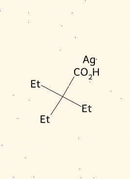 CCC(CC)(CC)C(=O)O.[Ag]